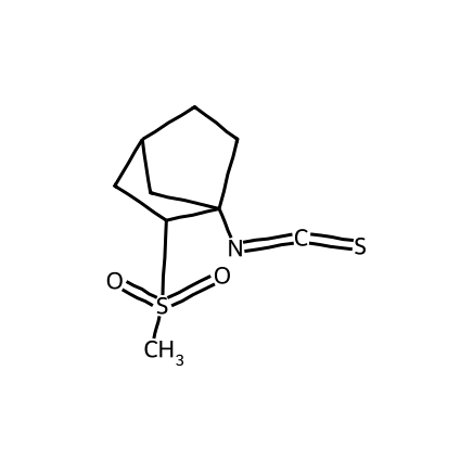 CS(=O)(=O)C1CC2CCC1(N=C=S)C2